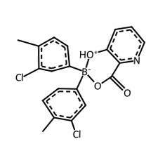 Cc1ccc([B-]2(c3ccc(C)c(Cl)c3)OC(=O)c3ncccc3[OH+]2)cc1Cl